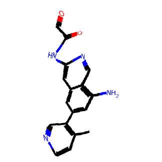 Cc1ccncc1-c1cc(N)c2cnc(NC(=O)C=O)cc2c1